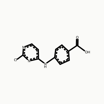 O=C(O)c1ccc(Nc2ccnc(Cl)n2)cc1